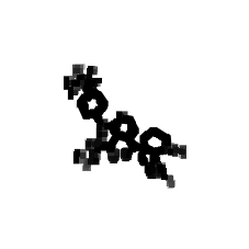 CCC1(C(=O)c2ccnc(Nc3ccc(S(F)(F)(F)(F)F)cc3)c2C(=O)NN)CCCNC1=O